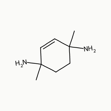 CC1(N)C=CC(C)(N)CC1